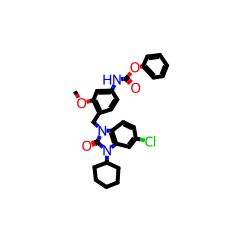 COc1cc(NC(=O)Oc2ccccc2)ccc1Cn1c(=O)n(C2CCCCC2)c2cc(Cl)ccc21